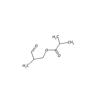 CC(C=O)COC(=O)C(C)C